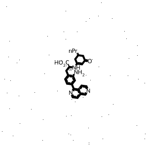 CCCC1CC(=O)C=C(N[C@@H](Cc2ccc(-c3nccc4cnccc34)cc2N)C(=O)O)C1